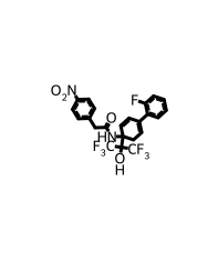 O=C(Cc1ccc([N+](=O)[O-])cc1)NC1(C(O)(C(F)(F)F)C(F)(F)F)C=CC(c2ccccc2F)=CC1